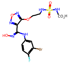 O=C(O)NS(=O)(=O)NCCOc1nonc1/C(=N\O)Nc1ccc(F)c(Br)c1